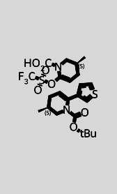 C[C@H]1CC=C(OS(=O)(=O)C(F)(F)F)N(C(=O)O)C1.C[C@H]1CC=C(c2ccsc2)N(C(=O)OC(C)(C)C)C1